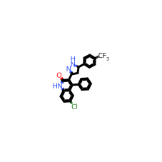 O=c1[nH]c2ccc(Cl)cc2c(-c2ccccc2)c1C1=NNC(c2ccc(C(F)(F)F)cc2)C1